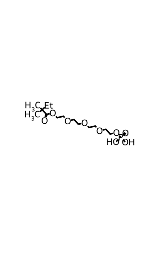 CCC(C)(C)C(=O)OCCOCCOCCOCCOP(=O)(O)O